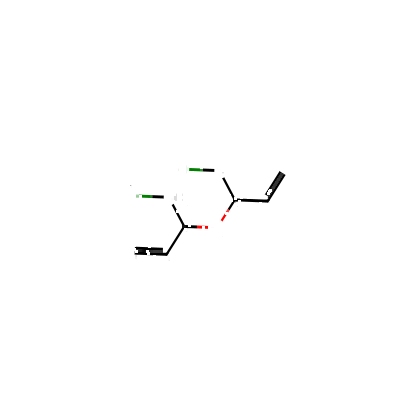 C=CC(OC(C=C)[SiH2]Cl)[SiH2]Cl